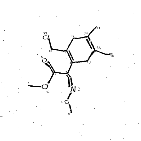 CON=C(C(=O)OC)C1=C(CCl)CC(C)=C(C)C1